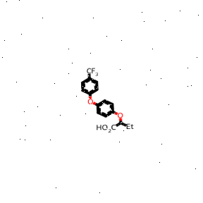 CCC(Oc1ccc(Oc2ccc(C(F)(F)F)cc2)cc1)C(=O)O